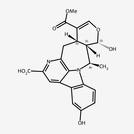 COC(=O)C1=CO[C@H](O)[C@H]2[C@@H]1Cc1nc(C(=O)O)cc3c4cc(O)ccc4n(c13)[C@@H]2C